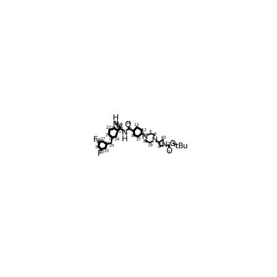 CC(C)(C)OC(=O)N1CC(N2CCN(c3ccc(C(=O)Nc4n[nH]c5ccc(Cc6cc(F)cc(F)c6)cc45)cc3)CC2)C1